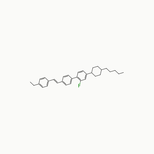 CCCCCC1CCC(c2ccc(-c3ccc(C=Cc4ccc(CC)cc4)cc3)c(F)c2)CC1